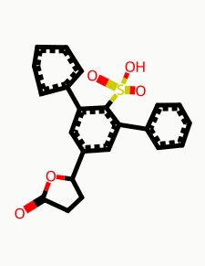 O=C1CCC(c2cc(-c3ccccc3)c(S(=O)(=O)O)c(-c3ccccc3)c2)O1